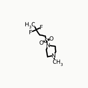 CN1CCN(S(=O)(=O)CCC(C)(F)F)CC1